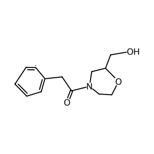 O=C(Cc1[c]cccc1)N1CCOC(CO)C1